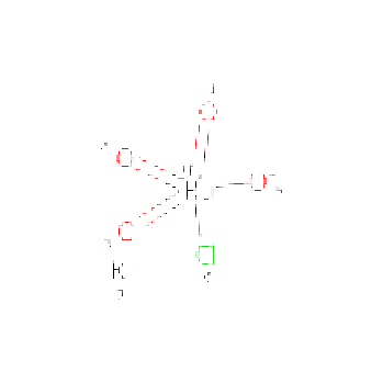 [K+].[O]=[Ru](=[O])(=[O])([O-])[Cl]